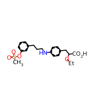 CCOC(Cc1ccc(NCCCc2cccc(OS(C)(=O)=O)c2)cc1)C(=O)O